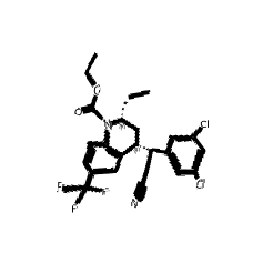 CCOC(=O)N1c2ccc(C(F)(F)F)cc2[C@@H](C(C#N)c2cc(Cl)cc(Cl)c2)C[C@H]1CC